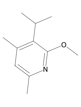 COc1nc(C)cc(C)c1C(C)C